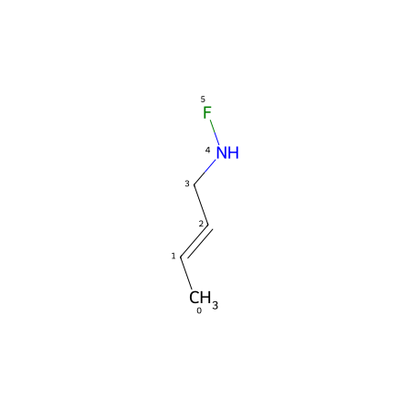 CC=CCNF